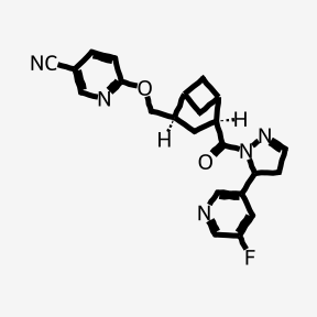 N#Cc1ccc(OC[C@@H]2C[C@H](C(=O)N3N=CCC3c3cncc(F)c3)C3CC2C3)nc1